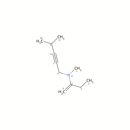 C=C(CC)N(C)CC#CC(C)C